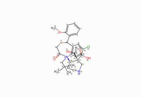 COc1ccccc1C1SCC(=O)[N+](CC(C)(C)C)([C@@H]2CCNC[C@@]2(C(C)=O)C(=O)O)c2ccc(Cl)cc21